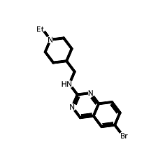 CCN1CCC(CNc2ncc3cc(Br)ccc3n2)CC1